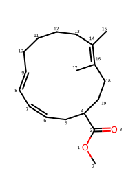 COC(=O)C1C/C=C\C=C\CCCC/C(C)=C(\C)CC1